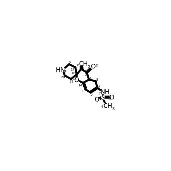 C=C1C(=O)C2CC(NS(C)(=O)=O)=CC=C2OC12CCNCC2